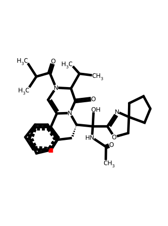 CC(=O)NC(O)(C1=NC2(CCCC2)CO1)[C@H](Cc1ccccc1)N1C(=O)C(C(C)C)N(C(=O)C(C)C)C=C1c1ccccc1